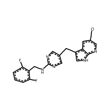 Fc1cccc(F)c1CNc1ncc(Cc2c[nH]c3ncc(Cl)cc23)cn1